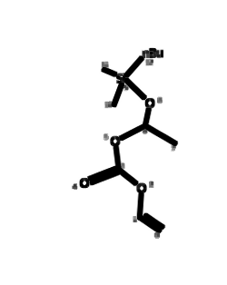 C=COC(=O)OC(C)O[Si](C)(C)CCCC